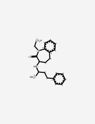 O=C(O)CN1C(=O)C(NC(CCc2ccccc2)C(=O)O)CCc2ccccc21